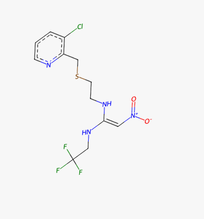 O=[N+]([O-])/C=C(\NCCSCc1ncccc1Cl)NCC(F)(F)F